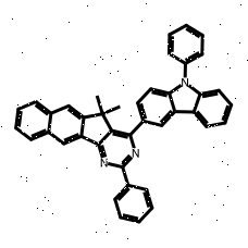 CC1(C)c2cc3ccccc3cc2-c2nc(-c3ccccc3)nc(-c3ccc4c(c3)c3ccccc3n4-c3ccccc3)c21